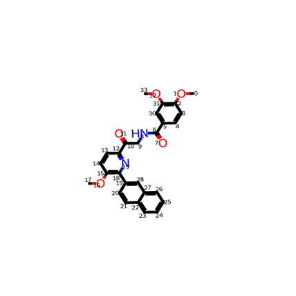 COc1ccc(C(=O)NCC(=O)c2ccc(OC)c(-c3ccc4ccccc4c3)n2)cc1OC